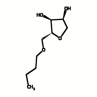 CCCCOC[C@H]1OC[C@H](O)[C@@H]1O